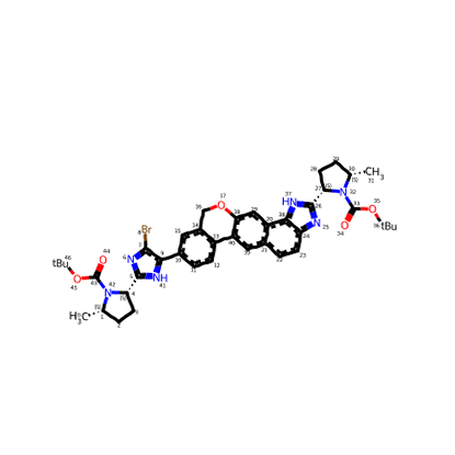 C[C@H]1CC[C@@H](c2nc(Br)c(-c3ccc4c(c3)COc3cc5c(ccc6nc([C@@H]7CC[C@H](C)N7C(=O)OC(C)(C)C)[nH]c65)cc3-4)[nH]2)N1C(=O)OC(C)(C)C